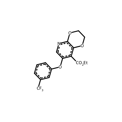 CCOC(=O)c1c(Oc2cccc(C(F)(F)F)c2)cnc2c1OCCO2